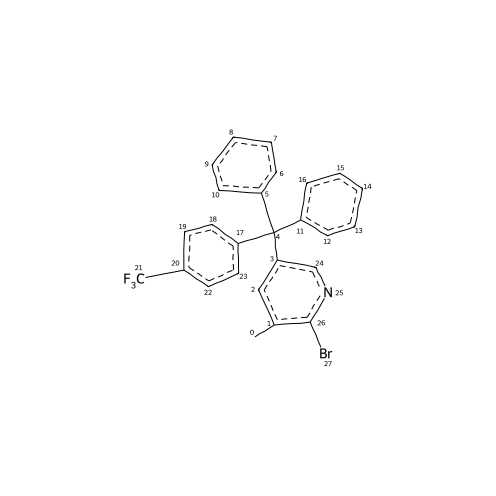 Cc1cc(C(c2ccccc2)(c2ccccc2)c2ccc(C(F)(F)F)cc2)cnc1Br